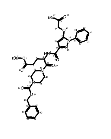 CC(C)(C)OC(=O)CCC(NC(=O)c1cc(OCC(=O)C(C)(C)C)n(-c2ccccc2)n1)C(=O)N1CCN(C(=O)OCc2ccccc2)CC1